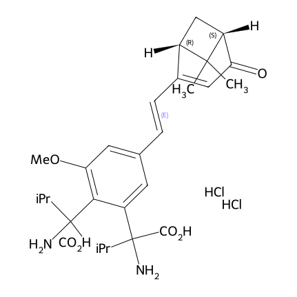 COc1cc(/C=C/C2=CC(=O)[C@H]3C[C@@H]2C3(C)C)cc(C(N)(C(=O)O)C(C)C)c1C(N)(C(=O)O)C(C)C.Cl.Cl